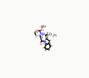 CC(C)C[C@H](NC(=O)OC(C)(C)C)C(=O)N1c2ccccc2C[C@@H]1CC(=O)O